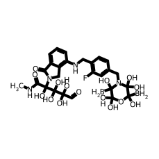 BC1(O)OC(O)(O)C(B)(O)N(Cc2ccc(CNc3cccc4c3CN(C(O)(C(=O)NC)C(O)(O)C(O)(O)C=O)C4=O)c(F)c2)C1(O)O